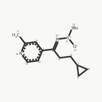 Cc1cc(C(CCC2CC2)=N[S+]([O-])C(C)(C)C)ccn1